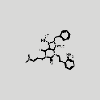 CCNN1c2c(n(CCc3ccccc3N)c(=O)n(CCCN(C)C)c2=O)N(CC)C1Cc1ccccc1